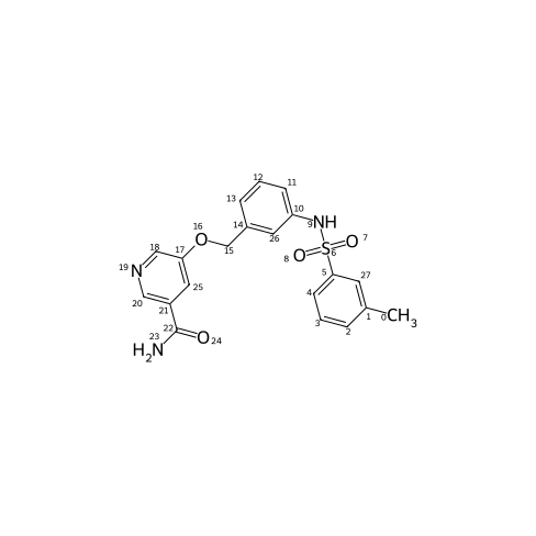 Cc1cccc(S(=O)(=O)Nc2cccc(COc3cncc(C(N)=O)c3)c2)c1